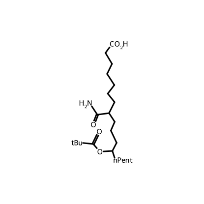 CCCCCC(CCCC(CCCCCCC(=O)O)C(N)=O)OC(=O)C(C)(C)C